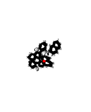 c1ccc2cc(N(c3ccc4ccccc4c3)c3cccc4oc5c6ccccc6c(-c6cccc7sc8ccccc8c67)cc5c34)ccc2c1